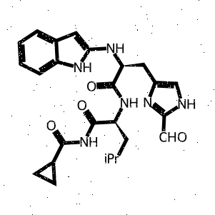 CC(C)C[C@H](NC(=O)[C@H](Cc1c[nH]c(C=O)n1)Nc1cc2ccccc2[nH]1)C(=O)NC(=O)C1CC1